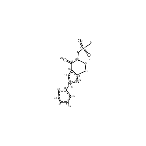 CS(=O)(=O)CN1CCc2nn(-c3cccnc3)cc2C1=O